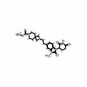 Cn1c(=O)n(C2CCC(=O)NC2=O)c2ccc(CCN3CC4(CCN(C(=O)OC(C)(C)C)CC4)C3)cc21